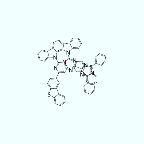 c1ccc(-c2nc(-c3ccccc3)nc(-c3nccc(-n4c5ccccc5c5ccc6c7ccccc7n(-c7nc(-c8ccc9sc%10ccccc%10c9c8)cc(-c8ccc9sc%10ccccc%10c9c8)n7)c6c54)n3)n2)cc1